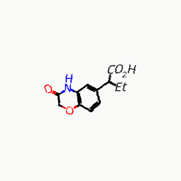 CCC(C(=O)O)c1ccc2c(c1)NC(=O)CO2